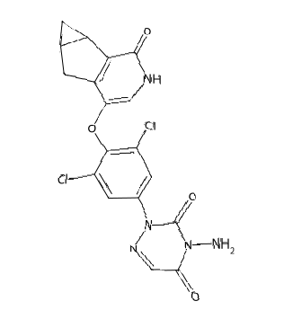 Nn1c(=O)cnn(-c2cc(Cl)c(Oc3c[nH]c(=O)c4c3CC3CC43)c(Cl)c2)c1=O